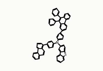 c1ccc(-c2c(-c3ccccc3)c3cc(-c4ccc(N(c5ccc(-c6cccc7c6ccc6ccccc67)cc5)c5ccc6sc7ccccc7c6c5)cc4)ccc3c3ccccc23)cc1